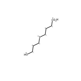 O=C(O)CCCSCCCO